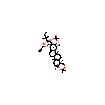 C#CCOC[C@]12CC3=CCC4[C@@]5(C)CC[C@@H]6OC(C)(C)OC[C@]6(C)C5CC[C@@]4(C)[C@]3(C)C[C@H]1OC(C)(C)O[C@H]2[C@H](O)C(C)(C)CC